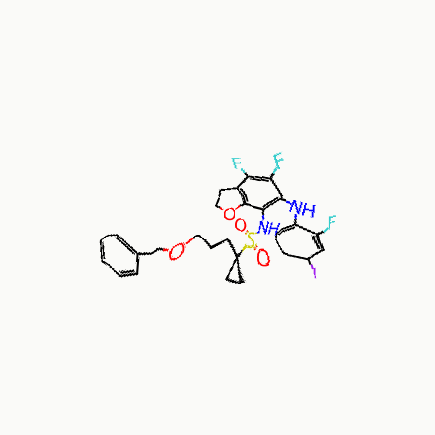 O=S(=O)(Nc1c(NC2=CCC(I)C=C2F)c(F)c(F)c2c1OCC2)C1(CCCOCc2ccccc2)CC1